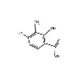 CCCCC(=O)c1ccc(O)c(C)c1O